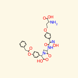 NC(CCOc1ccc(/C(=N/O)C(=O)NC2CN(C(C(=O)O)c3ccc(OC(=O)Cc4ccccc4)cc3)C2=O)cc1)C(=O)O